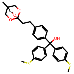 CSc1ccc(C(O)(c2ccc(CCC34OCC(C)(CO3)CO4)cc2)c2ccc(SC)cc2)cc1